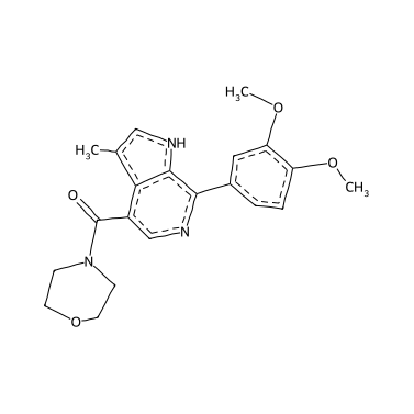 COc1ccc(-c2ncc(C(=O)N3CCOCC3)c3c(C)c[nH]c23)cc1OC